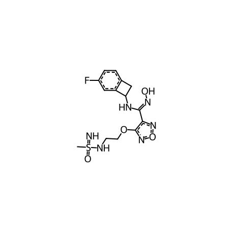 CS(=N)(=O)NCCOc1nonc1/C(=N/O)NC1Cc2ccc(F)cc21